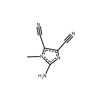 Cn1c(N)nc(C#N)c1C#N